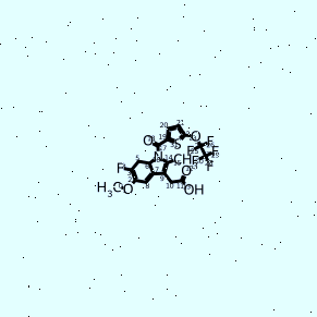 COC1=C(F)CC2C(=C1)C(CC(=O)O)=C(C)N2C(=O)c1ccc(OC(F)(F)C(F)(F)F)s1